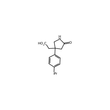 CC(C)c1ccc(C2(CC(=O)O)CNC(=O)C2)cc1